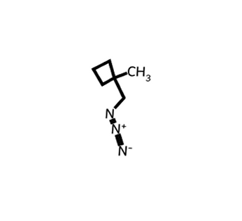 CC1(CN=[N+]=[N-])CCC1